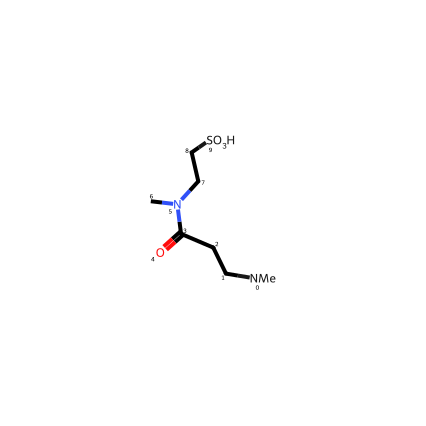 CNCCC(=O)N(C)CCS(=O)(=O)O